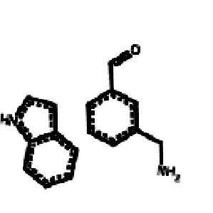 NCc1cccc(C=O)c1.c1ccc2[nH]ccc2c1